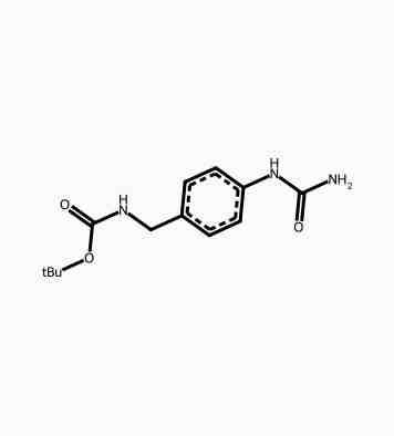 CC(C)(C)OC(=O)NCc1ccc(NC(N)=O)cc1